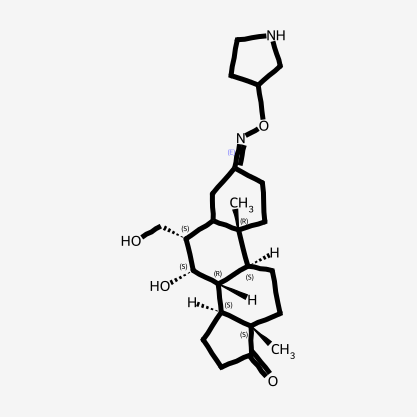 C[C@]12CC/C(=N\OC3CCNC3)CC1[C@@H](CO)[C@@H](O)[C@@H]1[C@@H]2CC[C@]2(C)C(=O)CC[C@@H]12